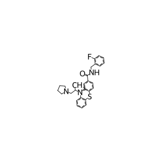 CC(CN1CCCC1)N1c2ccccc2Sc2ccc(C(=O)NCc3ccccc3F)cc21